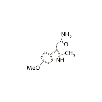 COc1ccc2c(CC(N)=O)c(C)[nH]c2c1